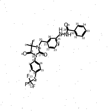 CC1(C)C(=O)N(c2ccc(SC(F)(F)F)cc2)C(=O)N1Cc1ccnc(NNC(=O)c2ccccc2)c1